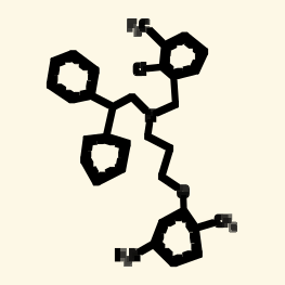 Nc1ccc(C(F)(F)F)c(OCCCN(Cc2cccc(C(F)(F)F)c2Cl)CC(c2ccccc2)c2ccccc2)c1